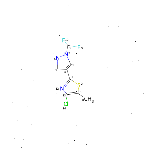 Cc1sc(-c2cnn(C(F)F)c2)nc1Cl